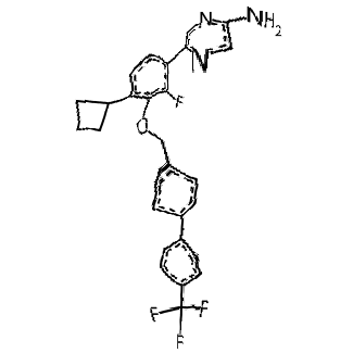 Nc1cnc(-c2ccc(C3CCC3)c(OCc3ccc(-c4ccc(C(F)(F)F)cc4)cc3)c2F)cn1